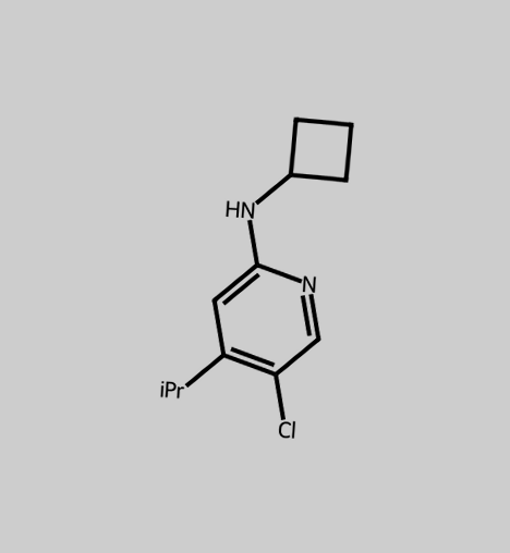 CC(C)c1cc(NC2CCC2)ncc1Cl